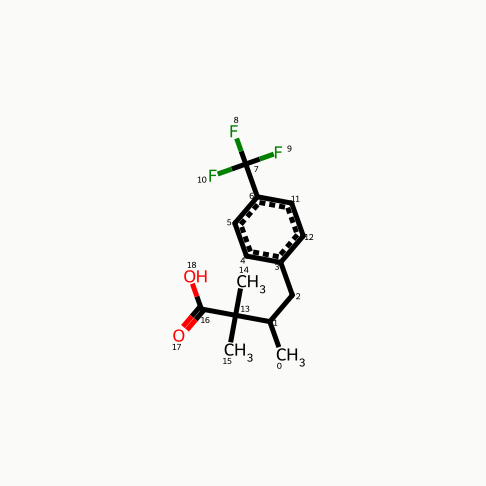 CC(Cc1ccc(C(F)(F)F)cc1)C(C)(C)C(=O)O